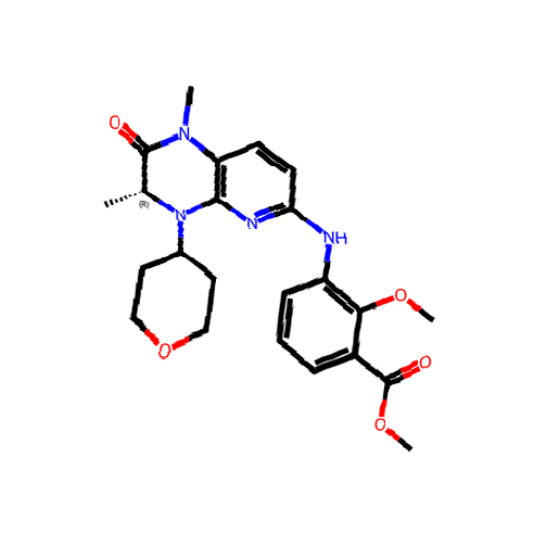 COC(=O)c1cccc(Nc2ccc3c(n2)N(C2CCOCC2)[C@H](C)C(=O)N3C)c1OC